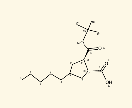 CCCCCC1C[C@@H](C(=O)O)[C@H](C(=O)OC(C)(C)C)C1